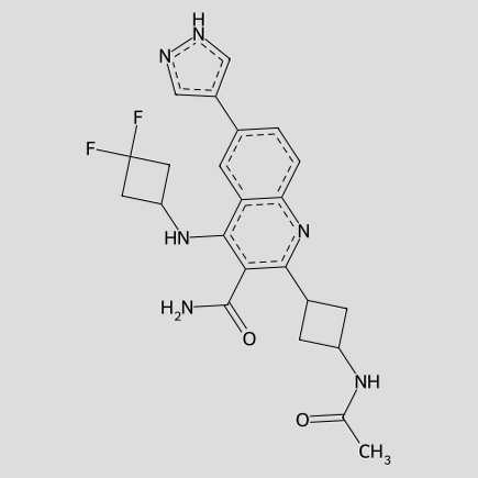 CC(=O)NC1CC(c2nc3ccc(-c4cn[nH]c4)cc3c(NC3CC(F)(F)C3)c2C(N)=O)C1